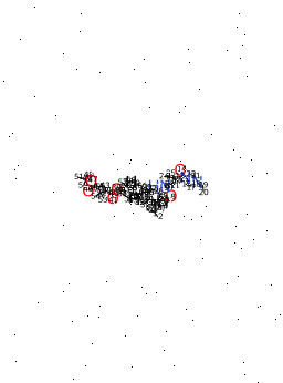 C=C(C)[C@@H]1CC[C@]2(C(=O)N[C@H]3C[C@@H](C(=O)N4CCN(CC)CC4)C3(C)C)CC[C@]3(C)[C@H](CC[C@@H]4[C@@]5(C)CC[C@H](OC(=O)[C@@H]6C[C@H](C(=O)OC(C)(C)C)C6(C)C)C(C)(C)[C@@H]5CC[C@]43C)[C@@H]12